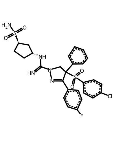 N=C(N[C@@H]1CC[C@@H](S(N)(=O)=O)C1)N1CC(c2ccccc2)(S(=O)(=O)c2ccc(Cl)cc2)C(c2ccc(F)cc2)=N1